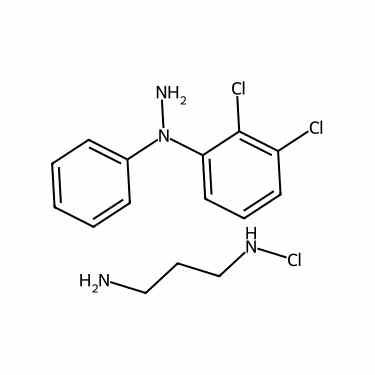 NCCCNCl.NN(c1ccccc1)c1cccc(Cl)c1Cl